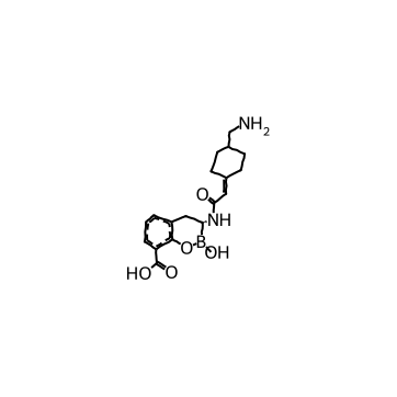 NCC1CCC(=CC(=O)N[C@H]2Cc3cccc(C(=O)O)c3OB2O)CC1